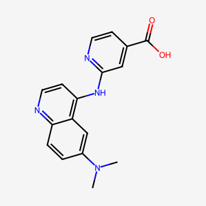 CN(C)c1ccc2nccc(Nc3cc(C(=O)O)ccn3)c2c1